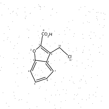 O=C(O)c1oc2ccccc2c1CCl